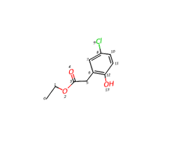 CCOC(=O)Cc1cc(Cl)ccc1O